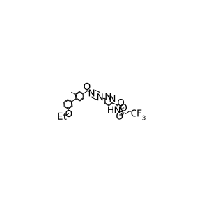 CCOc1cccc(-c2ccc(C(=O)N3CCN(c4ccc(C(=O)NS(=O)(=O)CCC(F)(F)F)nn4)CC3)cc2C)c1